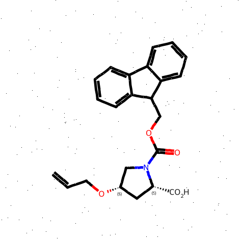 C=CCO[C@H]1C[C@@H](C(=O)O)N(C(=O)OCC2c3ccccc3-c3ccccc32)C1